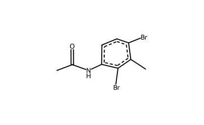 CC(=O)Nc1ccc(Br)c(C)c1Br